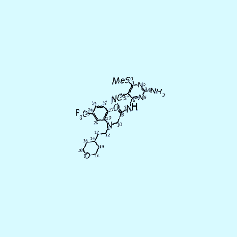 CSc1nc(N)nc(NC(=O)CN(CCC2CCOCC2)c2cccc(C(F)(F)F)c2)c1C#N